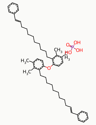 Cc1ccc(Oc2ccc(C)c(C)c2CCCCCCCCCC=Cc2ccccc2)c(CCCCCCCCCC=Cc2ccccc2)c1C.O=P(O)(O)O